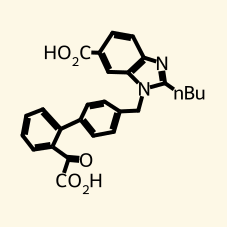 CCCCc1nc2ccc(C(=O)O)cc2n1Cc1ccc(-c2ccccc2C(=O)C(=O)O)cc1